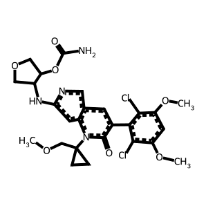 COCC1(n2c(=O)c(-c3c(Cl)c(OC)cc(OC)c3Cl)cc3cnc(NC4COCC4OC(N)=O)cc32)CC1